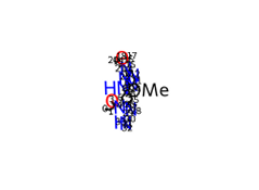 C=CC(=O)Nc1cc(Nc2ncnc(N3CC(C)OC(C)C3)n2)c(OC)cc1N(C)CCN(C)C